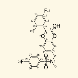 CN(Cc1ccc(OC(C(=O)O)c2cc(F)ccc2F)cc1)S(=O)(=O)c1ccc(F)cc1